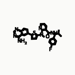 CC(C)[C@H](NC(=O)c1cccnc1N(C)c1ccc(-c2ccc3ncnc(N)c3c2)s1)c1ccc(F)cc1